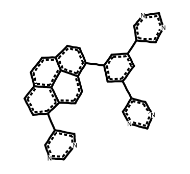 c1ncc(-c2cc(-c3cncnc3)cc(-c3ccc4ccc5ccc(-c6cncnc6)c6ccc3c4c56)c2)cn1